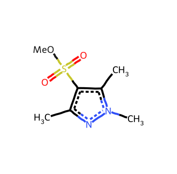 COS(=O)(=O)c1c(C)nn(C)c1C